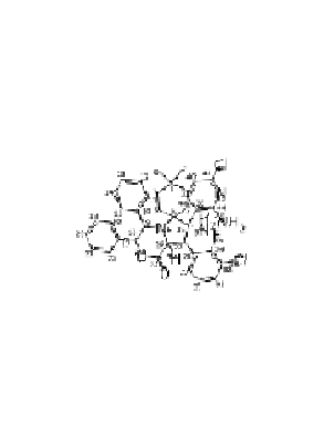 CC1(C)CCC2(CC1)N1[C@H](c3ccccc3)[C@H](c3ccccc3)OC(=O)[C@H]1[C@H](c1cccc(Cl)c1F)[C@]2(N)c1ccc(Cl)nc1N